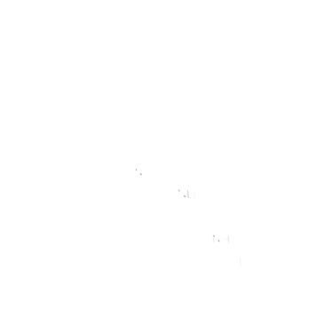 Cc1ccc(CCC2=Nc3ccccc3C(C(=O)NO)N2)o1